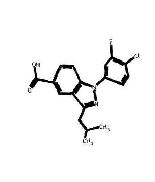 CC(C)Cc1nn(-c2ccc(Cl)c(F)c2)c2ccc(C(=O)O)cc12